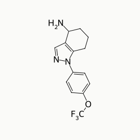 NC1CCCc2c1cnn2-c1ccc(OC(F)(F)F)cc1